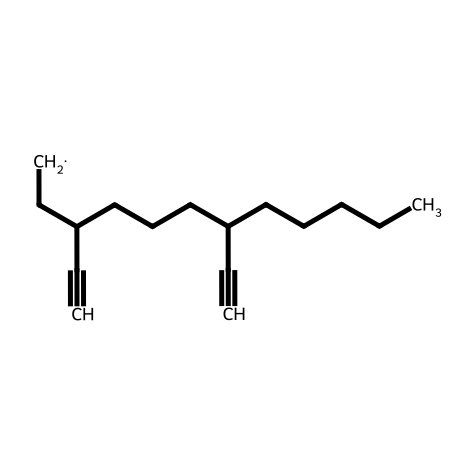 C#CC(C[CH2])CCCC(C#C)CCCCC